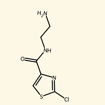 NCCNC(=O)c1csc(Cl)n1